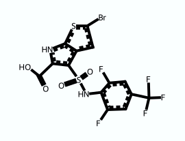 O=C(O)c1[nH]c2sc(Br)cc2c1S(=O)(=O)Nc1c(F)cc(C(F)(F)F)cc1F